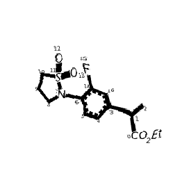 CCOC(=O)C(C)c1ccc(N2CCCS2(=O)=O)c(F)c1